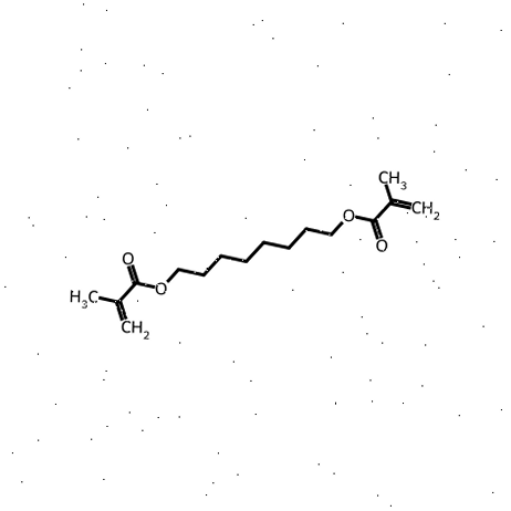 C=C(C)C(=O)OCCCCCCCCOC(=O)C(=C)C